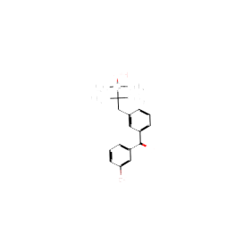 CC(C)(Cc1cccc(C(=O)c2cccc(Br)c2)c1)[Si](C)(C)O